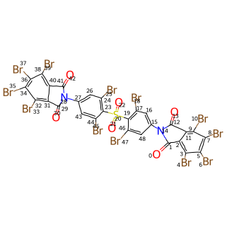 O=C1c2c(Br)c(Br)c(Br)c(Br)c2C(=O)N1c1cc(Br)c(S(=O)(=O)c2c(Br)cc(N3C(=O)c4c(Br)c(Br)c(Br)c(Br)c4C3=O)cc2Br)c(Br)c1